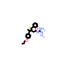 CCCOc1ccc(-c2csc(-c3ccccc3)c2CC(=O)N=C(N)N)cc1